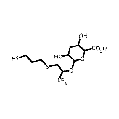 O=C(O)C1OC(OC(CSCCCS)C(F)(F)F)C(O)CC1O